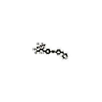 NS(=O)(=O)CC(Cc1ccc(C#Cc2ccc(CN3CCOCC3)cc2)cc1)c1nc[nH]c(=O)c1O